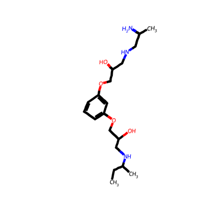 CCC(C)NCC(O)COc1cccc(OCC(O)CNCC(C)N)c1